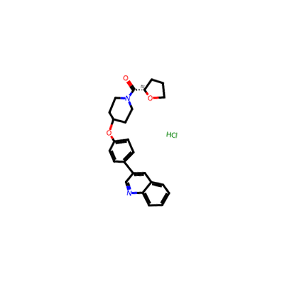 Cl.O=C([C@@H]1CCCO1)N1CCC(Oc2ccc(-c3cnc4ccccc4c3)cc2)CC1